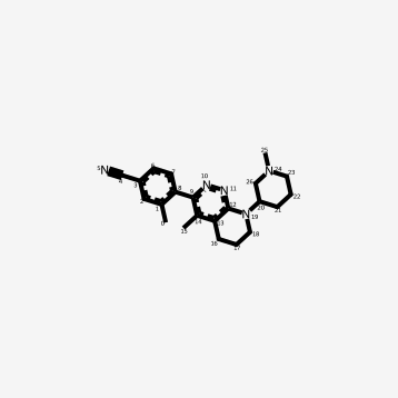 Cc1cc(C#N)ccc1-c1nnc2c(c1C)CCCN2C1CCCN(C)C1